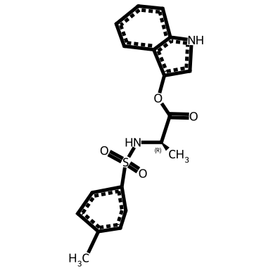 Cc1ccc(S(=O)(=O)N[C@H](C)C(=O)Oc2c[nH]c3ccccc23)cc1